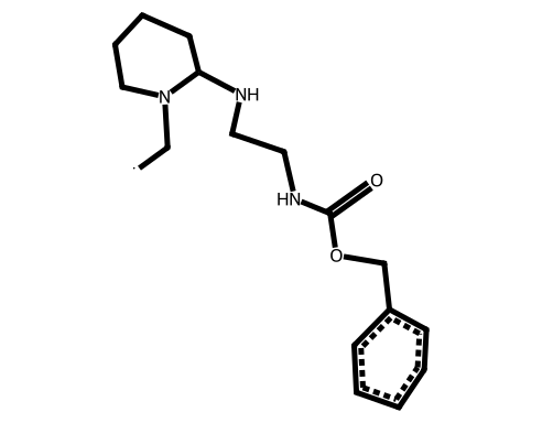 [CH2]CN1CCCCC1NCCNC(=O)OCc1ccccc1